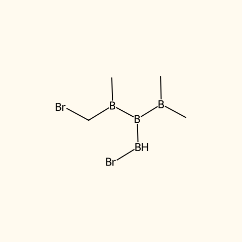 CB(C)B(BBr)B(C)CBr